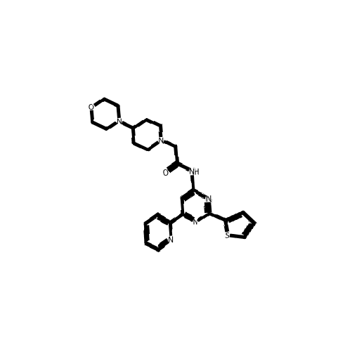 O=C(CN1CCC(N2CCOCC2)CC1)Nc1cc(-c2ccccn2)nc(-c2cccs2)n1